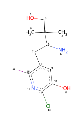 CC(C)(CO)C(N)Cc1cc(O)c(Cl)nc1I